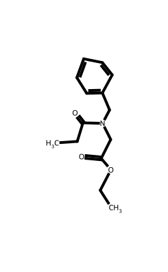 CCOC(=O)CN(Cc1ccccc1)C(=O)CC